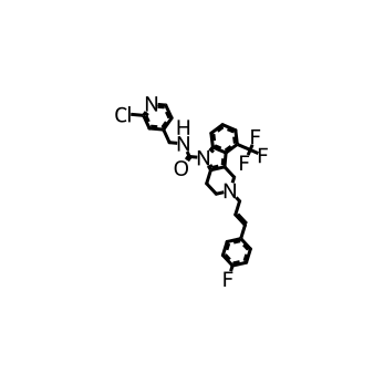 O=C(NCc1ccnc(Cl)c1)n1c2c(c3c(C(F)(F)F)cccc31)CN(CC=Cc1ccc(F)cc1)CC2